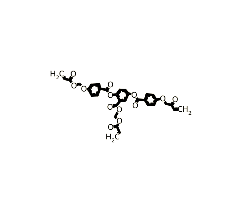 C=CC(=O)COc1ccc(C(=O)Oc2ccc(OC(=O)c3ccc(OCOC(=O)C=C)cc3)c(C(=O)OCOC(=O)C=C)c2)cc1